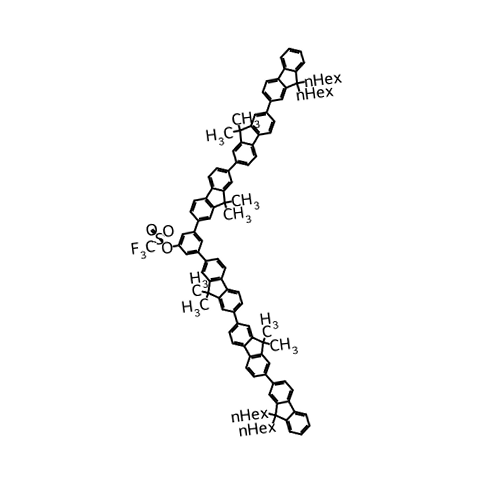 CCCCCCC1(CCCCCC)c2ccccc2-c2ccc(-c3ccc4c(c3)C(C)(C)c3cc(-c5ccc6c(c5)C(C)(C)c5cc(-c7cc(OS(=O)(=O)C(F)(F)F)cc(-c8ccc9c(c8)C(C)(C)c8cc(-c%10ccc%11c(c%10)C(C)(C)c%10cc(-c%12ccc%13c(c%12)C(CCCCCC)(CCCCCC)c%12ccccc%12-%13)ccc%10-%11)ccc8-9)c7)ccc5-6)ccc3-4)cc21